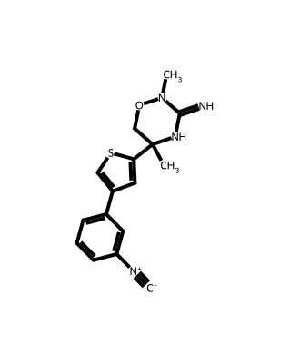 [C-]#[N+]c1cccc(-c2csc(C3(C)CON(C)C(=N)N3)c2)c1